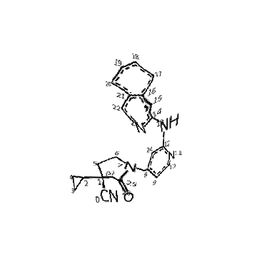 N#C[C@@]1(C2CC2)CCN(c2ccnc(Nc3cc4ccccc4cn3)c2)C1=O